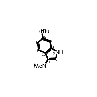 CNc1c[nH]c2cc(C(C)(C)C)ccc12